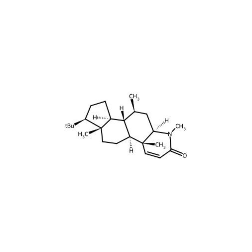 C[C@H]1C[C@H]2N(C)C(=O)C=C[C@]2(C)[C@H]2CC[C@]3(C)[C@@H](C(C)(C)C)CC[C@H]3[C@H]12